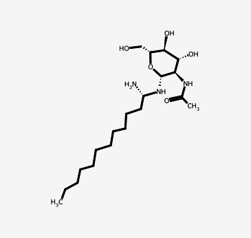 CCCCCCCCCCC[C@H](N)N[C@@H]1O[C@H](CO)[C@@H](O)[C@H](O)[C@H]1NC(C)=O